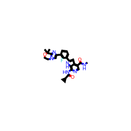 CNC(=O)c1cnc(NC(=O)C2CC2)c2[nH]c(-c3cccc(-c4cn5c(n4)C(C)(C)OCC5)c3F)cc12